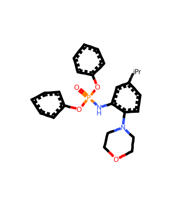 CC(C)c1ccc(N2CCOCC2)c(NP(=O)(Oc2ccccc2)Oc2ccccc2)c1